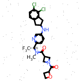 CN(C(=O)C1CN(C(=O)C2CCO2)C1)[C@@H](c1ccc(NC2Cc3ccc(Cl)c(Cl)c3C2)cn1)C(F)(F)F